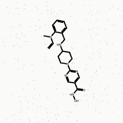 C=CN(C)c1ccccc1CNC1CCN(c2ncc(C(=O)NO)cn2)CC1